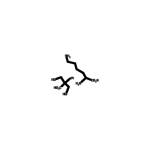 CCCC(CO)(CO)C(=O)O.NCCCCC(N)C(=O)O